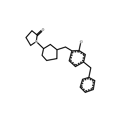 O=C1CCCN1C1CCCC(Cc2ccc(Cc3ccccc3)cc2Cl)C1